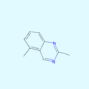 Cc1n[c]c2c(C)cccc2n1